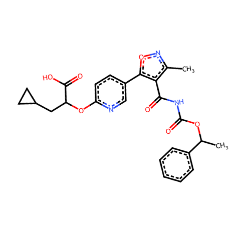 Cc1noc(-c2ccc(OC(CC3CC3)C(=O)O)nc2)c1C(=O)NC(=O)OC(C)c1ccccc1